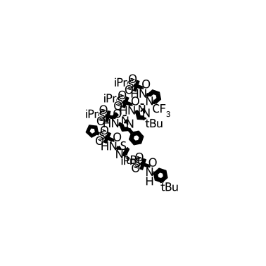 CC(C)(C)c1csc(NC(=O)C(C)(C)S(=O)(=O)C2CCCC2)n1.CC(C)S(=O)(=O)C(C)(C)C(=O)Nc1cc(-c2ccccc2)nn1C.CC(C)S(=O)(=O)C(C)(C)C(=O)Nc1cc(C(C)(C)C)nn1C.CC(C)S(=O)(=O)C(C)(C)C(=O)Nc1cccc(C(C)(C)C)c1.CC(C)S(=O)(=O)C(C)(C)C(=O)Nc1cccc(C(F)(F)F)n1